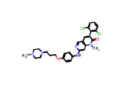 CN1CCN(CCCOc2ccc(Nc3cc4c(cn3)cc(-c3c(Cl)cccc3Cl)c(=O)n4C)cc2)CC1